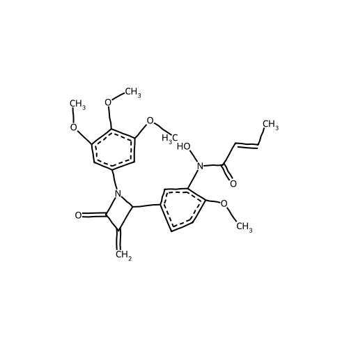 C=C1C(=O)N(c2cc(OC)c(OC)c(OC)c2)C1c1ccc(OC)c(N(O)C(=O)/C=C/C)c1